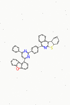 C1=CC2Sc3nc(-c4ccc(-c5nc(-c6ccccc6)cc(-c6cccc7oc8ccccc8c67)n5)cc4)c4ccccc4c3C2C=C1